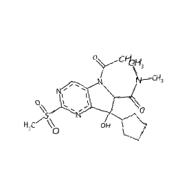 CC(=O)N1c2cnc(S(C)(=O)=O)nc2C(O)(C2CCCC2)C1C(=O)N(C)C